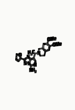 COc1cc2c(cc1OC)CN(C(C)c1cnc(N)n3nc(-c4ccco4)nc13)CC2